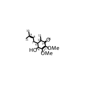 COC1=C(OC)C(O)C(CC=C(C)C)C(C)C1=O